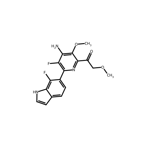 COCC(=O)c1nc(-c2ccc3cc[nH]c3c2F)c(F)c(N)c1OC